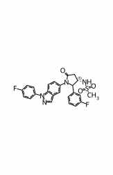 CS(=O)(=O)N[C@H]1CC(=O)N(c2ccc3c(cnn3-c3ccc(F)cc3)c2)C1c1cccc(F)c1